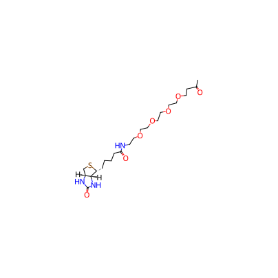 CC(=O)CCOCCOCCOCCOCCNC(=O)CCCC[C@H]1SC[C@H]2NC(=O)N[C@H]21